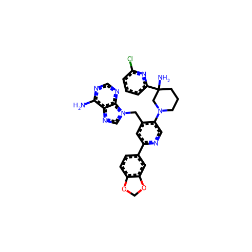 Nc1ncnc2c1ncn2Cc1cc(-c2ccc3c(c2)OCO3)ncc1N1CCCC(N)(c2cccc(Cl)n2)C1